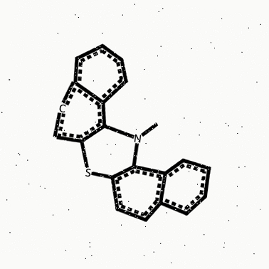 CN1c2c(ccc3ccccc23)Sc2ccc3ccccc3c21